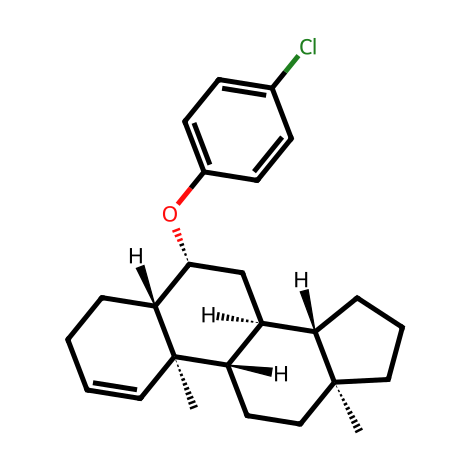 C[C@@]12CCC[C@H]1[C@@H]1C[C@@H](Oc3ccc(Cl)cc3)[C@H]3CCC=C[C@]3(C)[C@H]1CC2